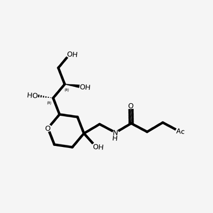 CC(=O)CCC(=O)NCC1(O)CCOC([C@H](O)[C@H](O)CO)C1